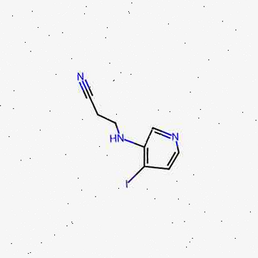 N#CCCNc1cnccc1I